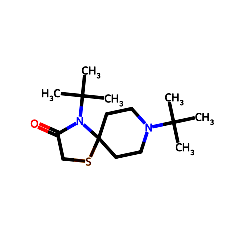 CC(C)(C)N1CCC2(CC1)SCC(=O)N2C(C)(C)C